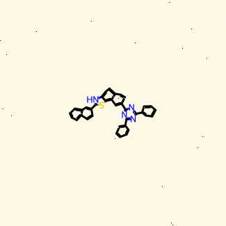 c1ccc(-c2nc(-c3ccccc3)nc(-c3ccc4ccc5c(c4c3)SC(c3ccc4ccccc4c3)N5)n2)cc1